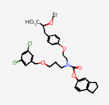 CCOC(Cc1ccc(OCCN(CCCOCc2cc(Cl)cc(Cl)c2)C(=O)Oc2ccc3c(c2)CCC3)cc1)C(=O)O